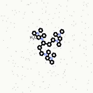 CC12C=Cc3c(c4ccccc4n3-c3cc(-c4cccc(-c5cccc(-n6c7ccccc7c7c6ccc6c8ccccc8n(-c8ccccc8)c67)c5)c4)cc(-c4cccc(-c5cccc(-n6c7ccccc7c7ccc8c(c9ccccc9n8-c8ccccc8)c76)c5)c4)c3)C1N(c1ccccc1)c1ccccc12